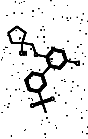 CS(=O)(=O)c1cccc(-c2cc(Cl)cnc2OCC2(O)CCCC2)c1